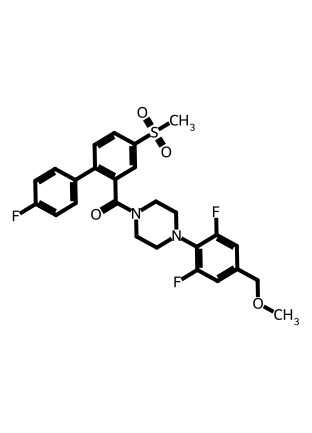 COCc1cc(F)c(N2CCN(C(=O)c3cc(S(C)(=O)=O)ccc3-c3ccc(F)cc3)CC2)c(F)c1